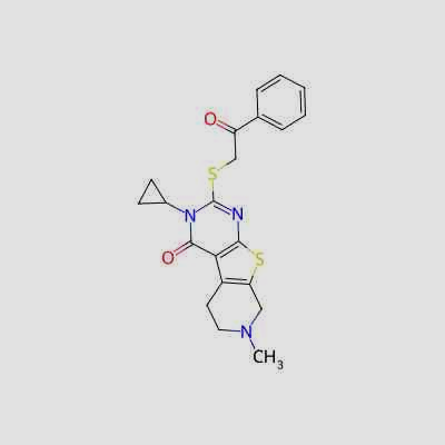 CN1CCc2c(sc3nc(SCC(=O)c4ccccc4)n(C4CC4)c(=O)c23)C1